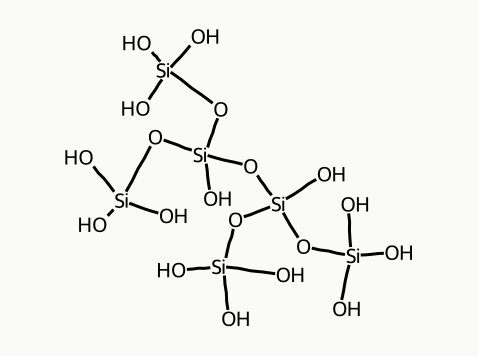 O[Si](O)(O)O[Si](O)(O[Si](O)(O)O)O[Si](O)(O[Si](O)(O)O)O[Si](O)(O)O